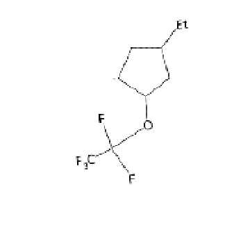 [CH2]CC1C[CH]C(OC(F)(F)C(F)(F)F)C1